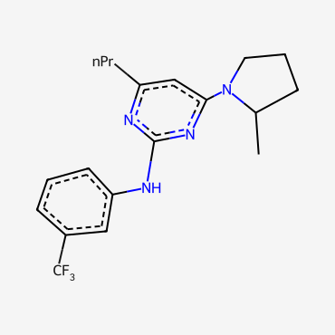 CCCc1cc(N2CCCC2C)nc(Nc2cccc(C(F)(F)F)c2)n1